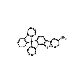 Bc1ccc2oc3c4c(ccc3c2c1)C1(C2=C(C=CCC2)c2ccccc21)c1ccccc1-4